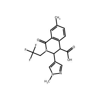 Cc1ccc2c(c1)C(=O)N(CC(F)(F)F)C(c1cnn(C)c1)C2C(=O)O